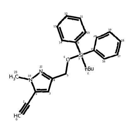 C#Cc1cc(CO[Si](CCCC)(c2ccccc2)c2ccccc2)nn1C